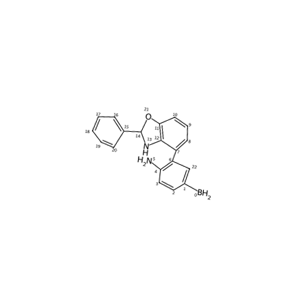 Bc1ccc(N)c(-c2cccc3c2NC(c2ccccc2)O3)c1